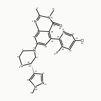 Cc1nc2cc(N3CCO[C@@H](c4cnn(C)c4)C3)cc(-c3ncc(Cl)cc3F)c2c(=O)n1C